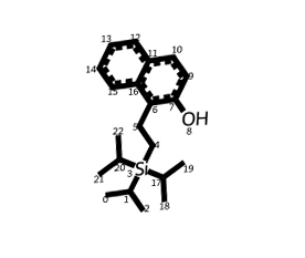 CC(C)[Si](CCc1c(O)ccc2ccccc12)(C(C)C)C(C)C